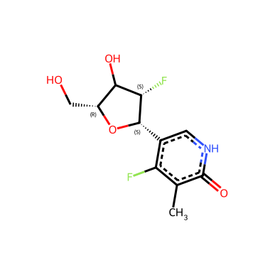 Cc1c(F)c([C@@H]2O[C@H](CO)C(O)[C@@H]2F)c[nH]c1=O